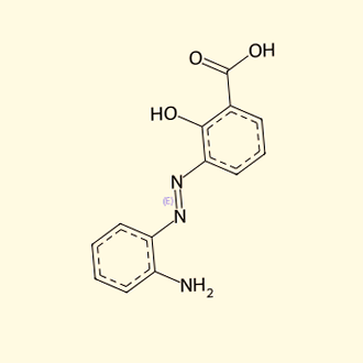 Nc1ccccc1/N=N/c1cccc(C(=O)O)c1O